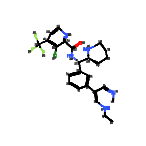 CCN/C=C(\C=N/C)c1cccc([C@H](NC(=O)c2nccc(C(F)(F)F)c2Cl)[C@@H]2CCCCN2)c1